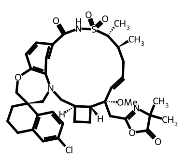 CO[C@@]1(CC2=NC(C)(C)C(=O)O2)/C=C/C[C@H](C)[C@@H](C)S(=O)(=O)NC(=O)c2ccc3c(c2)N(C[C@@H]2CC[C@H]21)C[C@@]1(CCCc2cc(Cl)ccc21)CO3